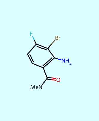 CNC(=O)c1ccc(F)c(Br)c1N